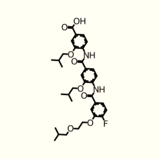 CC(C)COCCOc1cc(C(=O)Nc2ccc(C(=O)Nc3ccc(C(=O)O)cc3OCC(C)C)cc2OCC(C)C)ccc1F